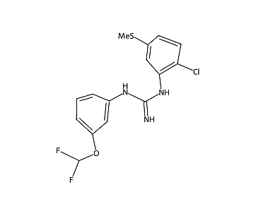 CSc1ccc(Cl)c(NC(=N)Nc2cccc(OC(F)F)c2)c1